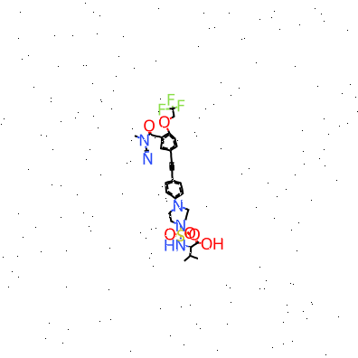 CC(C)[C@@H](NS(=O)(=O)N1CCN(c2ccc(C#Cc3ccc(OCC(F)(F)F)c(C(=O)N(C)C#N)c3)cc2)CC1)C(=O)O